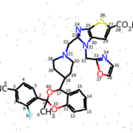 CC1(c2ccc(C#N)cc2F)Oc2ccccc2C(C2CCN(Cc3nc4sc(C(=O)O)cc4n3Cc3ncco3)CC2)O1